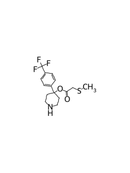 CSCC(=O)OC1(c2ccc(C(F)(F)F)cc2)CCNCC1